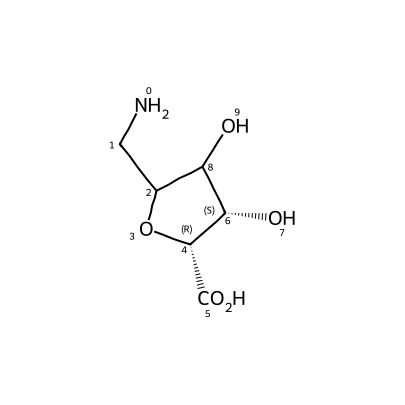 NCC1O[C@@H](C(=O)O)[C@@H](O)C1O